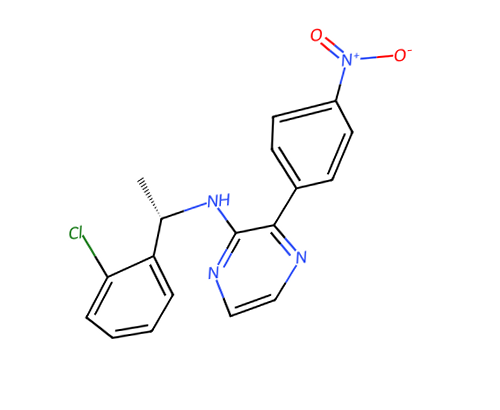 C[C@H](Nc1nccnc1-c1ccc([N+](=O)[O-])cc1)c1ccccc1Cl